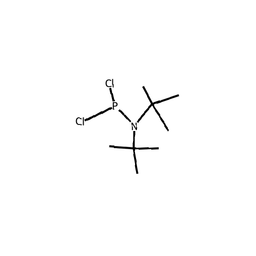 CC(C)(C)N(P(Cl)Cl)C(C)(C)C